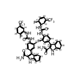 Cc1cc(-c2c(C(N)=O)[nH]c3ccccc23)ccc1NC(=O)Nc1cc(C(F)(F)F)ccc1F.NC(=O)c1[nH]c2ccccc2c1-c1ccc(NC(=O)Nc2cc(C(F)(F)F)ccc2F)c(F)c1